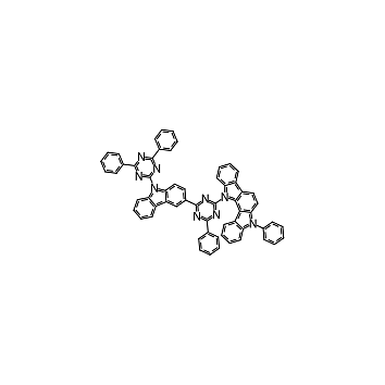 c1ccc(-c2nc(-c3ccccc3)nc(-n3c4ccccc4c4cc(-c5nc(-c6ccccc6)nc(-n6c7ccccc7c7ccc8c(c9ccccc9n8-c8ccccc8)c76)n5)ccc43)n2)cc1